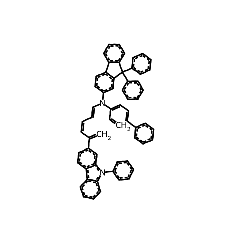 C=C/C(=C\C=C\c1ccccc1)N(/C=C/C=C\C(=C)c1ccc2c3ccccc3n(-c3ccccc3)c2c1)c1ccc2c(c1)C(c1ccccc1)(c1ccccc1)c1ccccc1-2